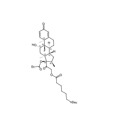 CCCCCCCCCCCCCCCC(=O)OCC(=O)[C@@]1(OC(=O)CC)[C@H](C)C[C@H]2[C@@H]3CCC4=CC(=O)C=C[C@]4(C)[C@@]3(F)[C@@H](O)C[C@@]21C